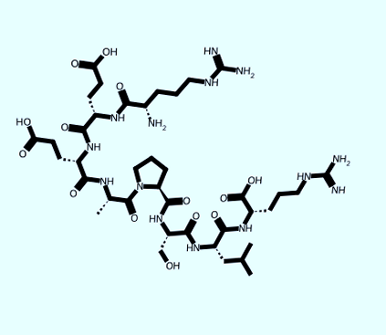 CC(C)C[C@H](NC(=O)[C@H](CO)NC(=O)[C@@H]1CCCN1C(=O)[C@H](C)NC(=O)[C@H](CCC(=O)O)NC(=O)[C@H](CCC(=O)O)NC(=O)[C@@H](N)CCCNC(=N)N)C(=O)N[C@@H](CCCNC(=N)N)C(=O)O